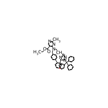 CCOC(=O)c1cnc(C)nc1N(CC)Cc1ccc(-c2ccccc2-c2nnnn2C(c2ccccc2)(c2ccccc2)c2ccccc2)cc1